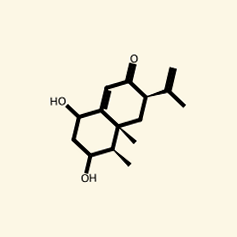 C=C(C)[C@H]1C[C@@]2(C)C(=CC1=O)C(O)CC(O)[C@@H]2C